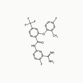 Cc1cc(F)ccc1Oc1cc(C(F)(F)F)ccc1C(=O)Nc1ccc(F)c(C(=N)N)c1